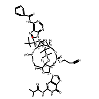 CC(C)C(=O)Nc1nc2c(ncn2[C@@H]2O[C@@H]3COP(O)O[C@@H]4[C@H](O[Si](C)(C)C(C)(C)C)[C@@H](COP(=S)(OCCC#N)O[C@@H]2[C@@H]3O[Si](C)(C)C(C)(C)C)O[C@H]4n2cnc3c(NC(=O)c4ccccc4)ncnc32)c(=O)[nH]1